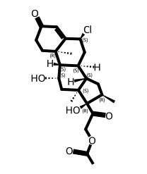 CC(=O)OCC(=O)[C@@]1(O)[C@H](C)C[C@H]2[C@@H]3C[C@H](Cl)C4=CC(=O)CC[C@]4(C)[C@H]3[C@@H](O)C[C@@]21C